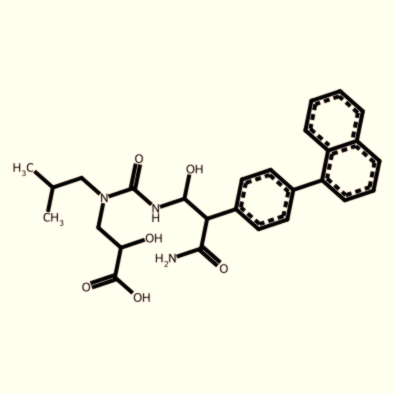 CC(C)CN(CC(O)C(=O)O)C(=O)NC(O)C(C(N)=O)c1ccc(-c2cccc3ccccc23)cc1